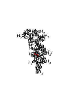 Cc1cn(C2CN(P(=O)(OCC3CN(C(C)C)CC(n4ccc(N)nc4=O)O3)N(C)C)CC(COP(=O)(N(C)C)N3CC(COP(=O)(N(C)C)N4CC(COP(=O)(N5CCNCC5)N5CC(COP(=O)(C(C)C)N6CCNCC6)OC(n6cnc7c(N)ncnc76)C5)OC(n5cnc6c(N)ncnc65)C4)OC(n4cnc5c(=O)[nH]c(N)nc54)C3)O2)c(=O)[nH]c1=O